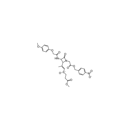 COC(=O)CC[S+]([O-])C=C(C)C1C(NC(=O)COc2ccc(OC)cc2)C(=O)N1CC(=O)OCc1ccc([N+](=O)[O-])cc1